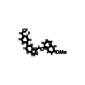 COc1ccc2c(OCc3nnc4ccc(-c5ccc(CC(F)(F)F)cc5)cn34)ccnc2c1